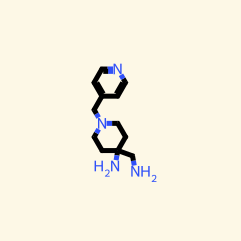 NCC1(N)CCN(Cc2ccncc2)CC1